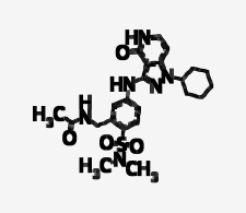 CC(=O)NCc1cc(Nc2nn(C3CCCCC3)c3cc[nH]c(=O)c23)ccc1S(=O)(=O)N(C)C